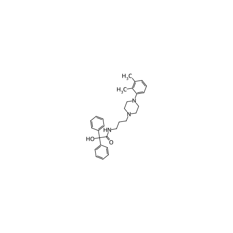 Cc1cccc(N2CCN(CCCNC(=O)C(O)(c3ccccc3)c3ccccc3)CC2)c1C